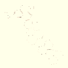 Nc1cc([N+](=O)[O-])cc2c(CN3CC4CCC5C6CCC7C8CCCC9CCCC(C%10CCC(C%11CCC(C3)C4C5%11)C6C7%10)C98)c([N+](=O)[O-])cc(N)c12